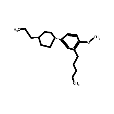 CCCCCc1cc([C@H]2CC[C@H](CCC)CC2)ccc1OC